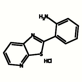 Cl.Nc1ccccc1-c1nc2cccnc2s1